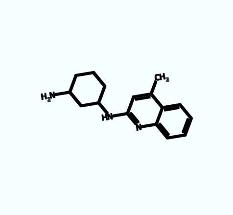 Cc1cc(NC2CCCC(N)C2)nc2ccccc12